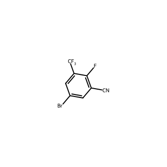 N#Cc1cc(Br)cc(C(F)(F)F)c1F